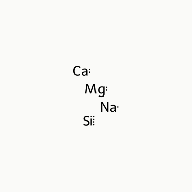 [Ca].[Mg].[Na].[Si]